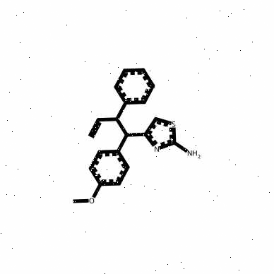 C=CC(c1ccccc1)C(c1ccc(OC)cc1)c1csc(N)n1